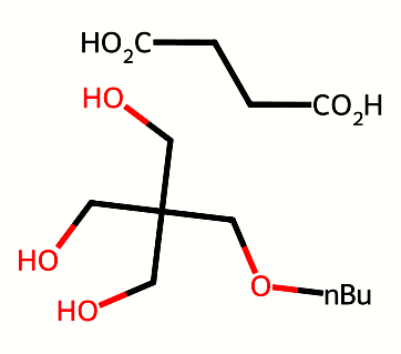 CCCCOCC(CO)(CO)CO.O=C(O)CCC(=O)O